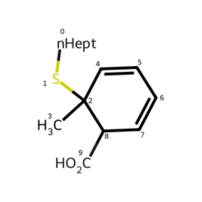 CCCCCCCSC1(C)C=CC=CC1C(=O)O